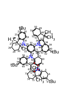 CC(C)(C)C1=CC2=C(CC1)N(C1=CCC3B4c5c(cc(N6c7ccc(C(C)(C)C)cc7C7(C)CCCCC67C)cc5-n5c6c(c7cc(C(C)(C)C)cc4c75)C(C)(C)C4CC=CC=C64)N(c4ccc(C(C)(C)C)cc4C4=CCCC=C4)C3=C1)C1(C)CCCCC21C